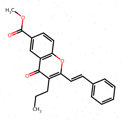 CCCc1c(/C=C/c2ccccc2)oc2ccc(C(=O)OC)cc2c1=O